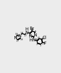 Fc1ccc(Nc2ncc(Br)c(NCCn3ccnc3)n2)cc1Cl